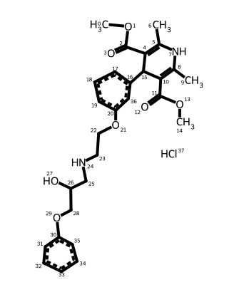 COC(=O)C1=C(C)NC(C)=C(C(=O)OC)C1c1cccc(OCCNCC(O)COc2ccccc2)c1.Cl